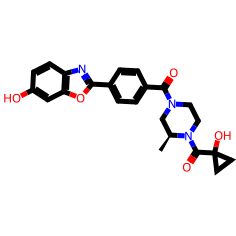 C[C@H]1CN(C(=O)c2ccc(-c3nc4ccc(O)cc4o3)cc2)CCN1C(=O)C1(O)CC1